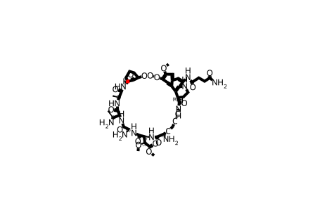 COC(=O)[C@@H](OC)[C@@H]1NC(=O)[C@@H](N)CCCCNC(=O)[C@@H]2CCNc3c(NC(=O)CCC(N)=O)cc4cc(OC)c(cc4c32)OOOC2CCC[C@@H](NC(=O)[C@H](C)NC(=O)C([C@H](C)N)NC(=O)[C@H](N)NC1=O)C2=O